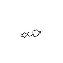 CC1(CN2CCNCC2)COC1